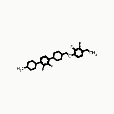 CCc1ccc(OCC2CCC(c3ccc(C4CCC(C)CC4)c(F)c3F)CC2)c(F)c1F